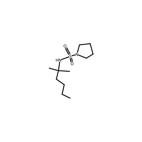 CCCCC(C)(C)NS(=O)(=O)N1CCCC1